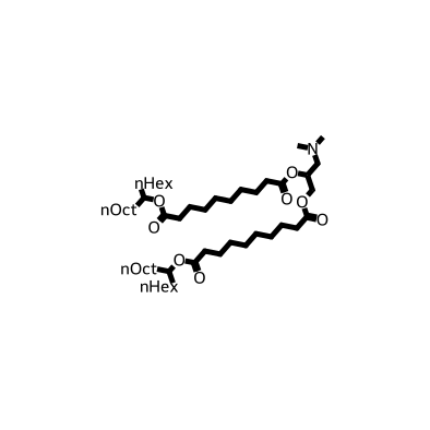 CCCCCCCCC(CCCCCC)OC(=O)CCCCCCCCC(=O)OCC(CN(C)C)OC(=O)CCCCCCCCC(=O)OC(CCCCCC)CCCCCCCC